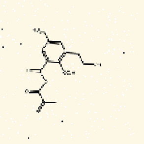 C=C(C)C(=O)OC(=O)c1cc(C(=O)O)cc(CCO)c1C(=O)O